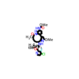 COC(=O)Nc1ccc2c(c1)NC(=O)[C@H](C)CCC[C@H](NCC[C@@H](O[Si](C)(C)C(C)(C)C)c1nccc(Cl)c1F)c1cc-2cc(OC)n1